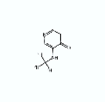 [2H]C([2H])([2H])NC1=CN=CCC1=O